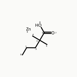 CCCC(C)(C)C(=O)O.[Zn]